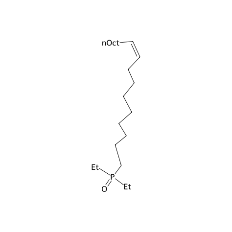 CCCCCCCC/C=C\CCCCCCCCP(=O)(CC)CC